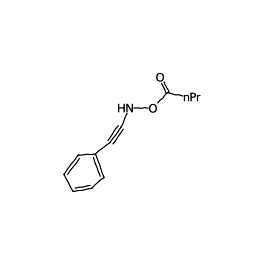 CCCC(=O)ONC#Cc1ccccc1